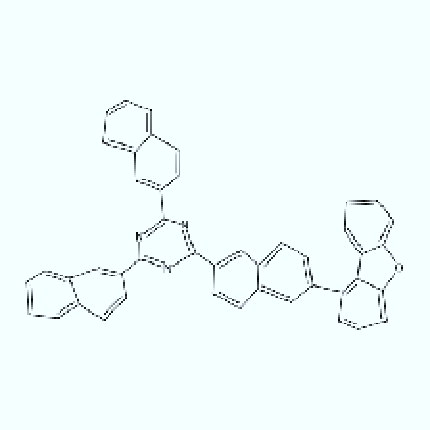 c1ccc2cc(-c3nc(-c4ccc5ccccc5c4)nc(-c4ccc5cc(-c6cccc7oc8ccccc8c67)ccc5c4)n3)ccc2c1